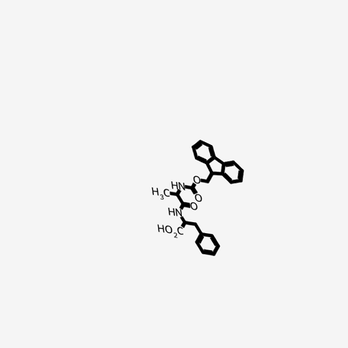 CC(NC(=O)OCC1c2ccccc2-c2ccccc21)C(=O)NC(Cc1ccccc1)C(=O)O